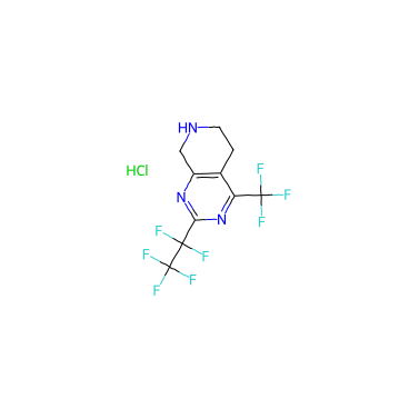 Cl.FC(F)(F)c1nc(C(F)(F)C(F)(F)F)nc2c1CCNC2